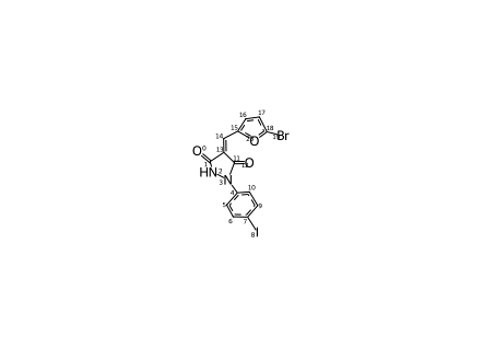 O=C1NN(c2ccc(I)cc2)C(=O)C1=Cc1ccc(Br)o1